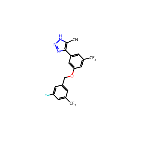 N#Cc1[nH]nnc1-c1cc(OCc2cc(F)cc(C(F)(F)F)c2)cc(C(F)(F)F)c1